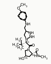 CNC(=O)[C@@H]1C[C@@H](O)CN1C(=O)[C@@H](N1CC(CNc2ccc(OC)cc2)NN1)C(C)(C)C